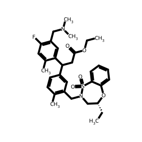 CCOC(=O)CC(c1ccc(C)c(CN2C[C@@H](CC)Oc3ccccc3S2(=O)=O)c1)c1cc(CN(C)C)c(F)cc1C